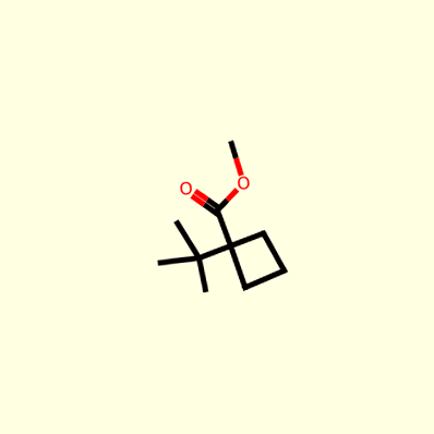 COC(=O)C1(C(C)(C)C)CCC1